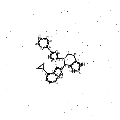 c1cc(C2CC2)c2cc(C3c4nc[nH]c4CCN3c3nnc(-c4ccncn4)o3)nn2c1